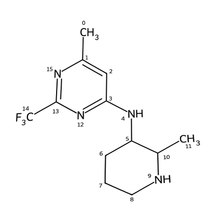 Cc1cc(NC2CCCNC2C)nc(C(F)(F)F)n1